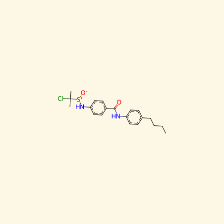 CCCCc1ccc(NC(=O)c2ccc(N[S+]([O-])C(C)(C)Cl)cc2)cc1